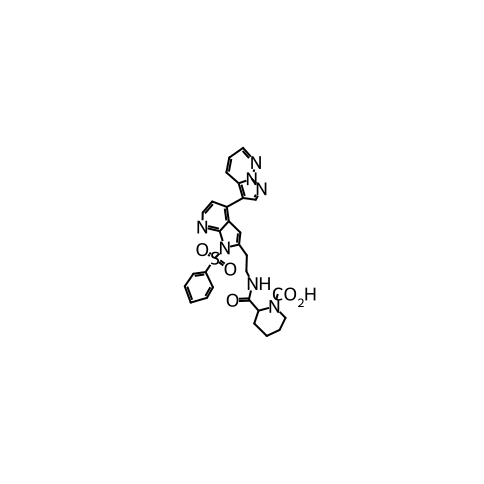 O=C(NCCc1cc2c(-c3cnn4ncccc34)ccnc2n1S(=O)(=O)c1ccccc1)C1CCCCN1C(=O)O